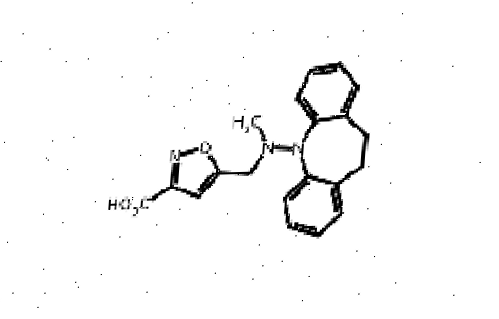 CN(Cc1cc(C(=O)O)no1)N1c2ccccc2CCc2ccccc21